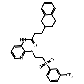 O=C(CCC1CCc2ccccc2C1)Nc1cccnc1SCCS(=O)(=O)c1cccc(C(F)(F)F)c1